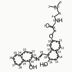 CN(C)CCNC(=O)COc1ccc2ccc(O)c(C=Nc3ccc4ccccc4c3O)c2c1